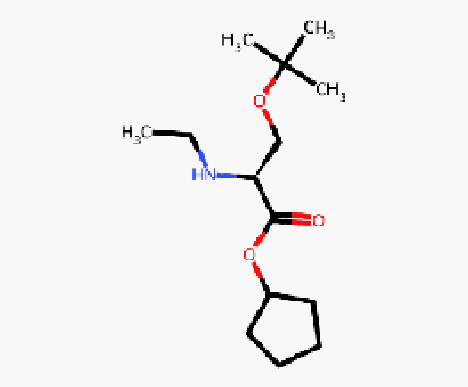 CCN[C@@H](COC(C)(C)C)C(=O)OC1CCCC1